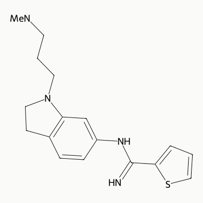 CNCCCN1CCc2ccc(NC(=N)c3cccs3)cc21